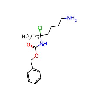 NCCCC[C@@](Cl)(NC(=O)OCc1ccccc1)C(=O)O